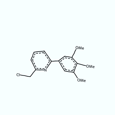 COc1cc(-c2cccc(CCl)n2)cc(OC)c1OC